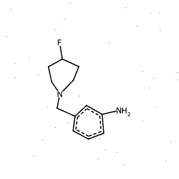 Nc1cccc(CN2CCC(F)CC2)c1